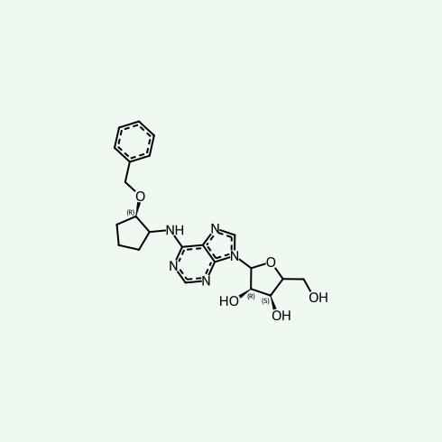 OCC1OC(n2cnc3c(NC4CCC[C@H]4OCc4ccccc4)ncnc32)[C@H](O)[C@@H]1O